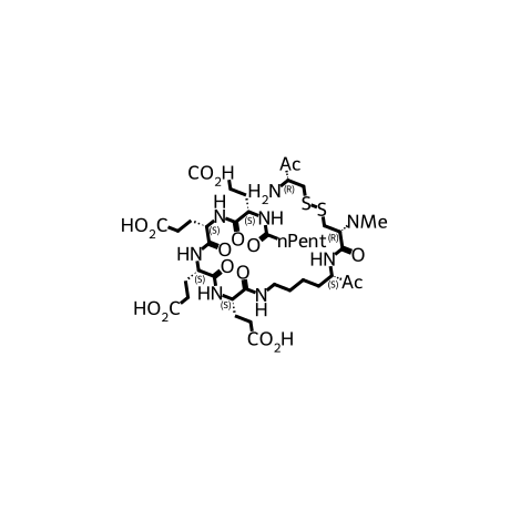 CCCCCC(=O)N[C@@H](CCC(=O)O)C(=O)N[C@@H](CCC(=O)O)C(=O)N[C@@H](CCC(=O)O)C(=O)N[C@@H](CCC(=O)O)C(=O)NCCCC[C@H](NC(=O)[C@H](CSSC[C@H](N)C(C)=O)NC)C(C)=O